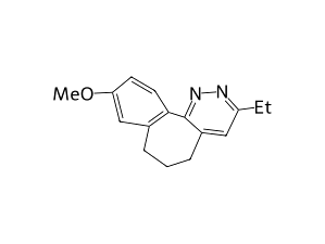 CCc1cc2c(nn1)-c1ccc(OC)cc1CCC2